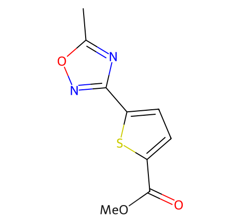 COC(=O)c1ccc(-c2noc(C)n2)s1